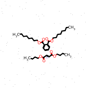 CCCCCCCCOC(=O)c1ccccc1C(=O)OCCCCCCCC.CCCCOC(=O)/C=C/C(=O)OCCCC